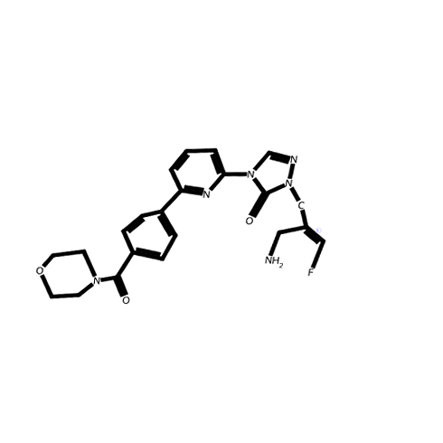 NC/C(=C\F)Cn1ncn(-c2cccc(-c3ccc(C(=O)N4CCOCC4)cc3)n2)c1=O